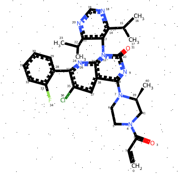 C=CC(=O)N1CCN(c2nc(=O)n(-c3c(C(C)C)ncnc3C(C)C)c3nc(-c4ccccc4F)c(Cl)cc23)[C@@H](C)C1